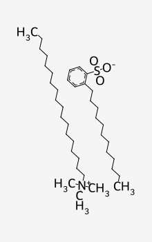 CCCCCCCCCCCCCCCCCC[N+](C)(C)C.CCCCCCCCCCCCc1ccccc1S(=O)(=O)[O-]